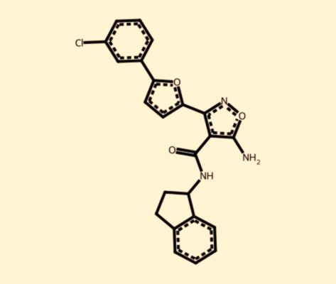 Nc1onc(-c2ccc(-c3cccc(Cl)c3)o2)c1C(=O)NC1CCc2ccccc21